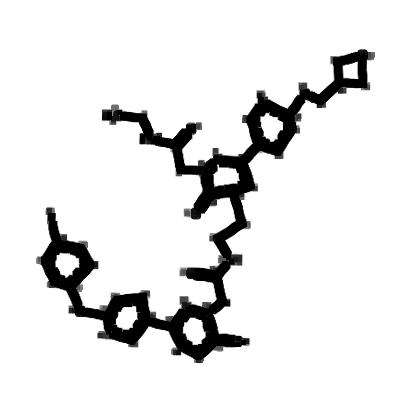 CCNC(=O)Cn1nc(-c2ccc(OCC3COC3)nc2)cc(CCNC(=O)Cn2nc(-c3ccc(Oc4ccc(F)cc4)nc3)ccc2=O)c1=O